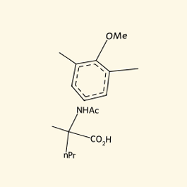 CCCC(C)(NC(C)=O)C(=O)O.COc1c(C)cccc1C